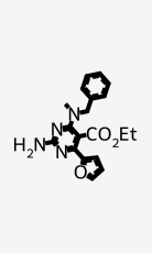 CCOC(=O)c1c(-c2ccco2)nc(N)nc1N(C)Cc1ccccc1